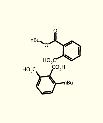 CCCCOC(=O)c1ccccc1C(=O)O.CCCCc1cccc(C(=O)O)c1C(=O)O